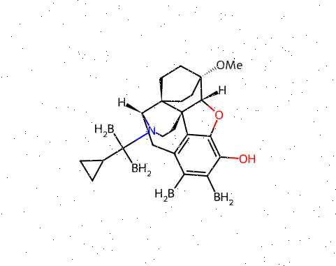 Bc1c(B)c2c3c(c1O)O[C@H]1[C@]4(OC)CC[C@]5(CC4)[C@@H](C2)N(C(B)(B)C2CC2)CC[C@]315